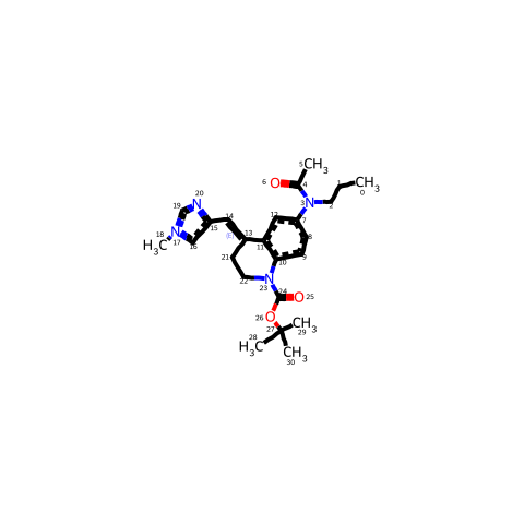 CCCN(C(C)=O)c1ccc2c(c1)/C(=C/c1cn(C)cn1)CCN2C(=O)OC(C)(C)C